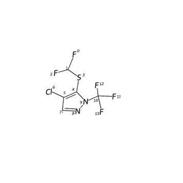 FC(F)Sc1c(Cl)[c]nn1C(F)(F)F